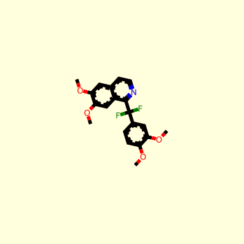 COc1ccc(C(F)(F)c2nccc3cc(OC)c(OC)cc23)cc1OC